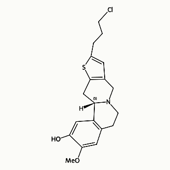 COc1cc2c(cc1O)[C@@H]1Cc3sc(CCCCl)cc3CN1CC2